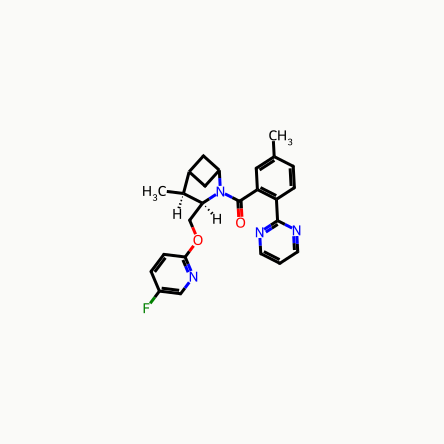 Cc1ccc(-c2ncccn2)c(C(=O)N2C3CC(C3)[C@H](C)[C@@H]2COc2ccc(F)cn2)c1